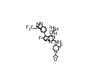 [2H]C([2H])([2H])Oc1nc(N[C@@H]2CCN(C3COC3)C[C@@H]2F)nn2cc(F)c(-c3ccc4nnn(CC(F)(F)F)c4c3)c12